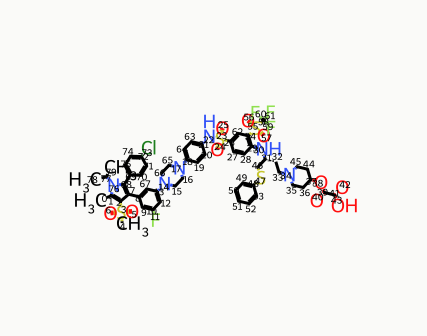 Cc1c(S(C)(=O)=O)c(-c2cc(F)cc(N3CCN(c4ccc(NS(=O)(=O)c5ccc(N[C@H](CCN6CCC(OC(=O)C(=O)O)CC6)CSc6ccccc6)c(S(=O)(=O)C(F)(F)F)c5)cc4)CC3)c2)c(-c2ccc(Cl)cc2)n1C(C)C